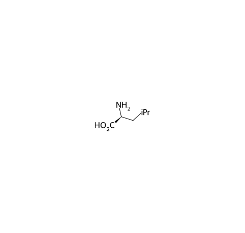 CC(C)C[C@H](N)[11C](=O)O